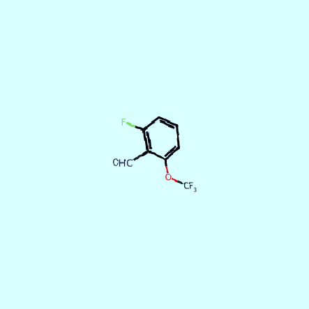 O=Cc1c(F)cccc1OC(F)(F)F